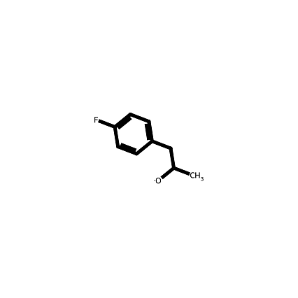 CC([O])Cc1ccc(F)cc1